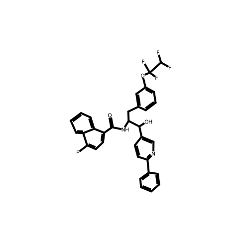 O=C(NC(Cc1cccc(OC(F)(F)C(F)F)c1)C(O)c1ccc(-c2ccccc2)nc1)c1ccc(F)c2ccccc12